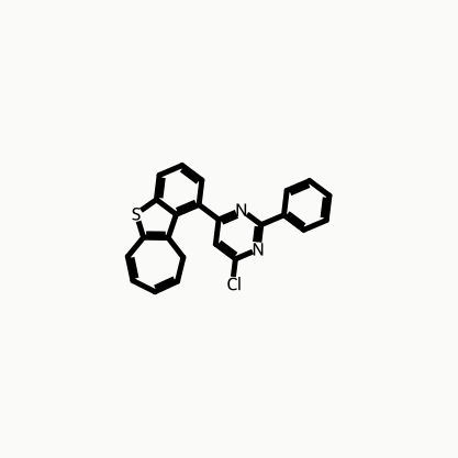 Clc1cc(-c2cccc3sc4c(c23)CC=CC=C4)nc(-c2ccccc2)n1